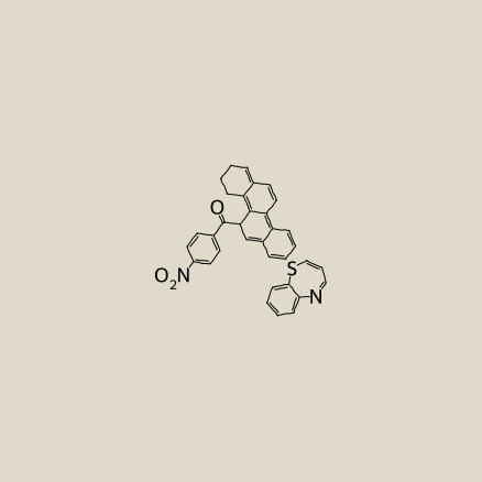 C1=CSc2ccccc2N=C1.O=C(c1ccc([N+](=O)[O-])cc1)C1C=c2ccccc2=c2ccc3c(c21)CCCC=3